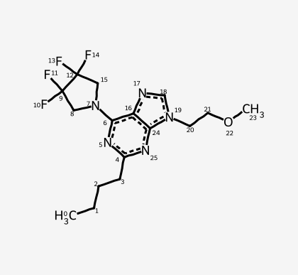 CCCCc1nc(N2CC(F)(F)C(F)(F)C2)c2ncn(CCOC)c2n1